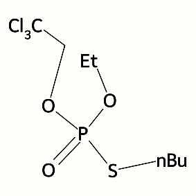 CCCCSP(=O)(OCC)OCC(Cl)(Cl)Cl